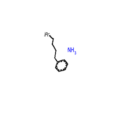 CC(C)CCCCc1ccccc1.N